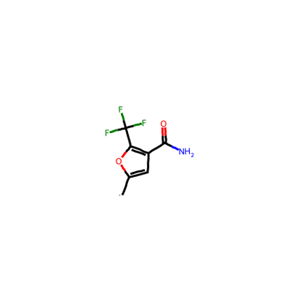 [CH2]c1cc(C(N)=O)c(C(F)(F)F)o1